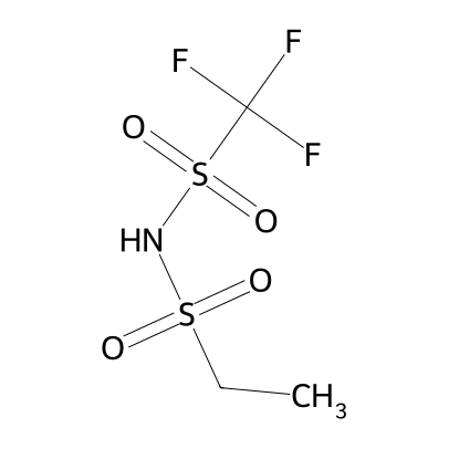 CCS(=O)(=O)NS(=O)(=O)C(F)(F)F